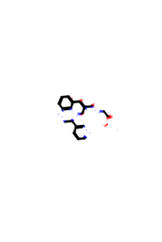 CC(C)(C)OC(=O)CNC(=O)c1c(O)c2cccc3c2n(c1=O)C(c1ccc(C(F)(F)F)nc1)CN3